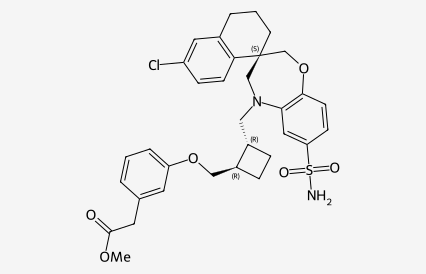 COC(=O)Cc1cccc(OC[C@@H]2CC[C@H]2CN2C[C@@]3(CCCc4cc(Cl)ccc43)COc3ccc(S(N)(=O)=O)cc32)c1